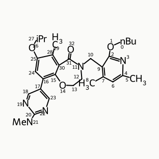 CCCCOc1nc(C)cc(C)c1CN1CCOc2c(-c3cnc(NC)nc3)cc(OC(C)C)c(C)c2C1=O